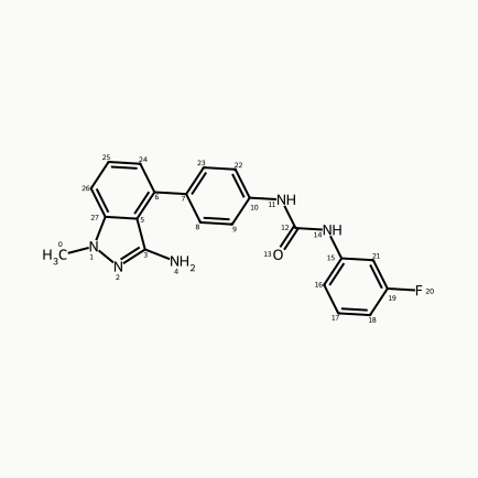 Cn1nc(N)c2c(-c3ccc(NC(=O)Nc4cccc(F)c4)cc3)cccc21